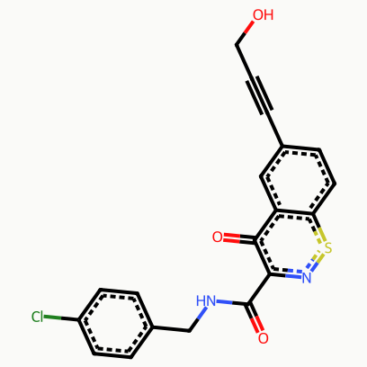 O=C(NCc1ccc(Cl)cc1)c1nsc2ccc(C#CCO)cc2c1=O